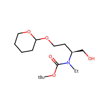 CCN(C(=O)OC(C)(C)C)[C@H](CO)CCOC1CCCCO1